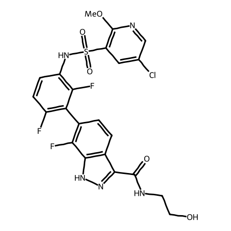 COc1ncc(Cl)cc1S(=O)(=O)Nc1ccc(F)c(-c2ccc3c(C(=O)NCCO)n[nH]c3c2F)c1F